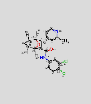 Cc1cc([C@H]2[C@H]3O[C@H]([C@@H]4C[C@@H]43)[C@@H]2C(=O)Nc2ccc(Cl)c(Cl)c2)ccn1